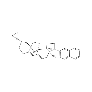 C[C@]12CC=C3C=C4CCC(N5CC5)C[C@]45CC[C@]3(O5)[C@@H]1CC[C@@H]2c1ccc2ccncc2c1